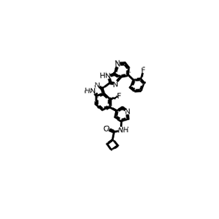 O=C(Nc1cncc(-c2ccc3[nH]nc(-c4nc5c(-c6ccccc6F)ccnc5[nH]4)c3c2F)c1)C1CCC1